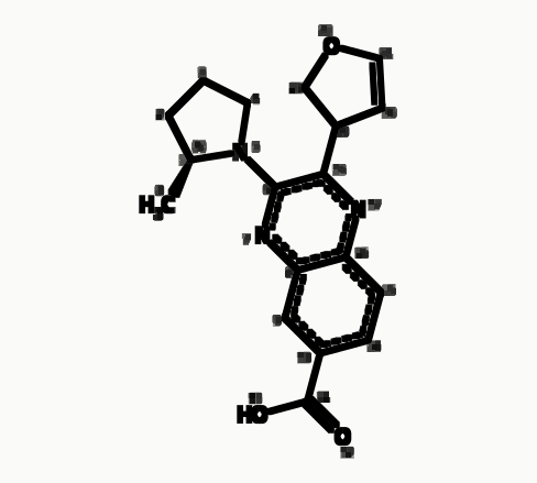 C[C@H]1CCCN1c1nc2cc(C(=O)O)ccc2nc1C1C=COC1